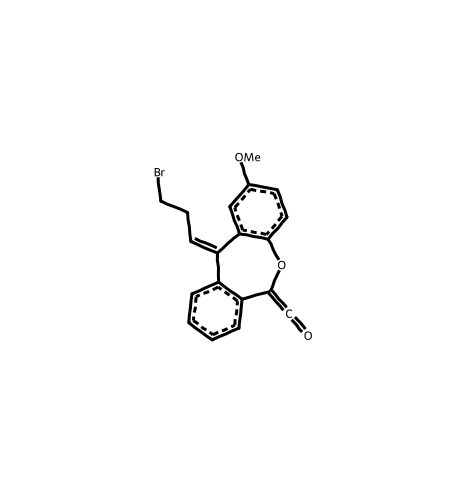 COc1ccc2c(c1)C(=CCCBr)c1ccccc1C(=C=O)O2